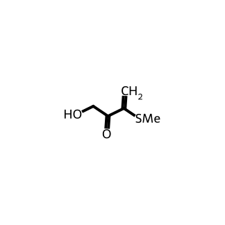 C=C(SC)C(=O)CO